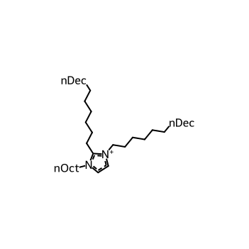 CCCCCCCCCCCCCCCCc1n(CCCCCCCC)cc[n+]1CCCCCCCCCCCCCCCC